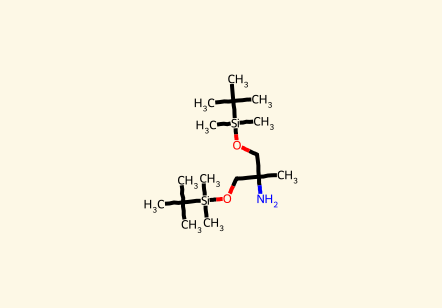 CC(N)(CO[Si](C)(C)C(C)(C)C)CO[Si](C)(C)C(C)(C)C